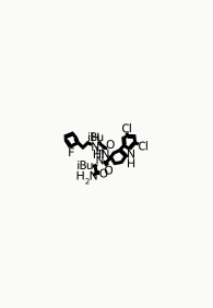 CCC(C)C(NC(=O)[C@@]1(NC(=O)C(NCCc2ccccc2F)C(C)CC)CCc2[nH]c3c(Cl)cc(Cl)cc3c2C1)C(N)=O